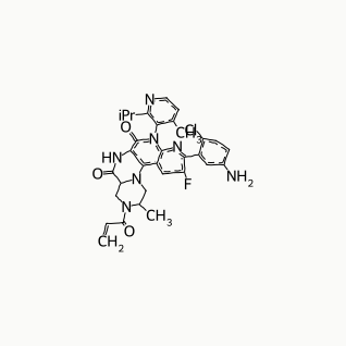 C=CC(=O)N1CC2C(=O)Nc3c(c4cc(F)c(-c5cc(N)ccc5Cl)nc4n(-c4c(C)ccnc4C(C)C)c3=O)N2CC1C